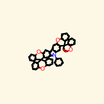 c1ccc(-n2c3cc4c(cc3c3cc5c(cc32)C2(c3ccccc3Oc3ccccc32)c2ccccc2O5)Oc2ccccc2C42c3ccccc3Oc3ccccc32)cc1